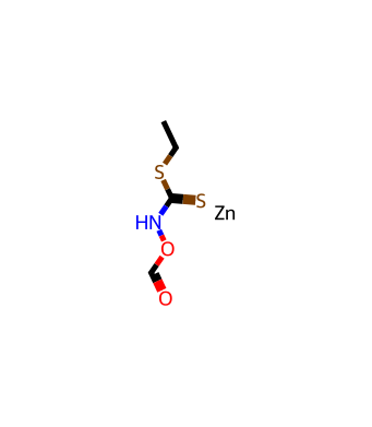 CCSC(=S)NOC=O.[Zn]